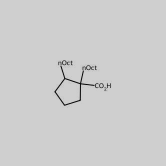 CCCCCCCCC1CCCC1(CCCCCCCC)C(=O)O